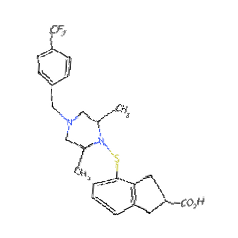 CC1CN(Cc2ccc(C(F)(F)F)cc2)CC(C)N1Sc1cccc2c1CC(C(=O)O)C2